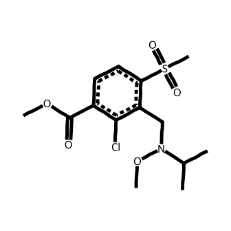 COC(=O)c1ccc(S(C)(=O)=O)c(CN(OC)C(C)C)c1Cl